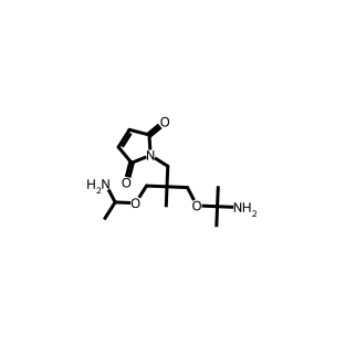 CC(N)OCC(C)(COC(C)(C)N)CN1C(=O)C=CC1=O